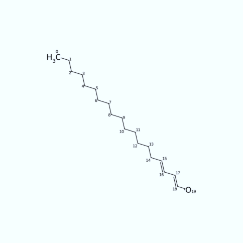 CCCCCCCCCCCCCCCC=CC=C[O]